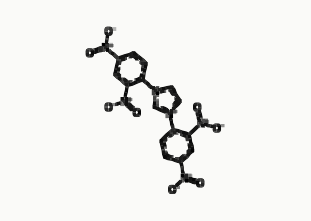 O=[N+]([O-])c1ccc(-n2cc[n+](-c3ccc([N+](=O)[O-])cc3[N+](=O)[O-])c2)c([N+](=O)[O-])c1